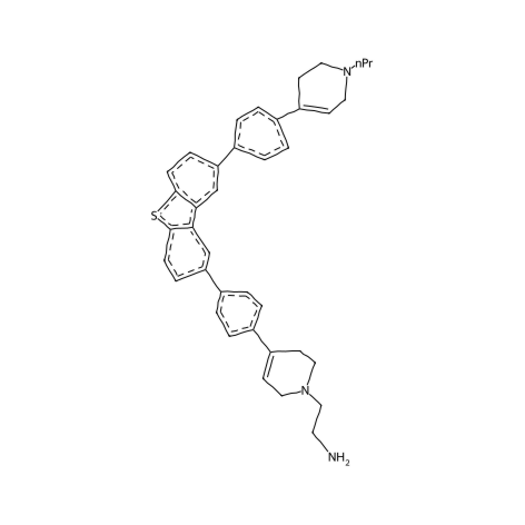 CCCN1CC=C(c2ccc(-c3ccc4sc5ccc(-c6ccc(C7=CCN(CCN)CC7)cc6)cc5c4c3)cc2)CC1